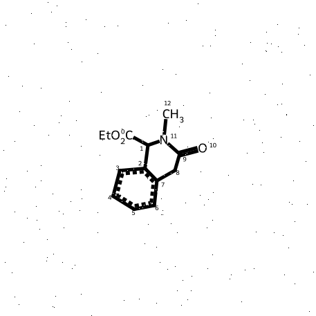 CCOC(=O)C1c2ccccc2CC(=O)N1C